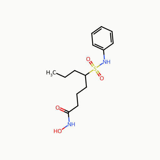 CCCC(CCCC(=O)NO)S(=O)(=O)Nc1ccccc1